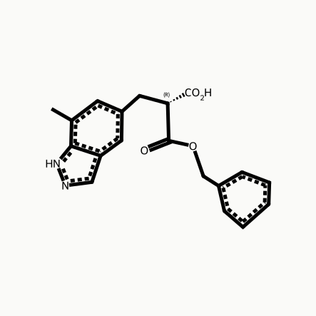 Cc1cc(C[C@H](C(=O)O)C(=O)OCc2ccccc2)cc2cn[nH]c12